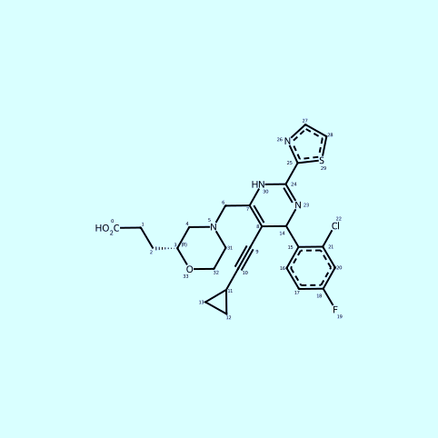 O=C(O)CC[C@@H]1CN(CC2=C(C#CC3CC3)C(c3ccc(F)cc3Cl)N=C(c3nccs3)N2)CCO1